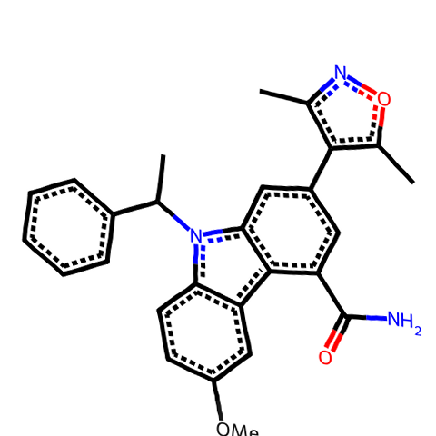 COc1ccc2c(c1)c1c(C(N)=O)cc(-c3c(C)noc3C)cc1n2C(C)c1ccccc1